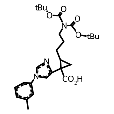 Cc1cccc(-n2cnc(C3(C(=O)O)CC3CCCN(C(=O)OC(C)(C)C)C(=O)OC(C)(C)C)c2)c1